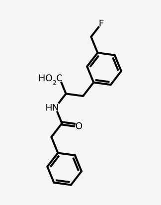 O=C(Cc1ccccc1)NC(Cc1cccc(CF)c1)C(=O)O